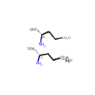 N[C@@H](CCC(=O)O)C(=O)[O-].N[C@@H](CCC(=O)O)C(=O)[O-].[Fe+2]